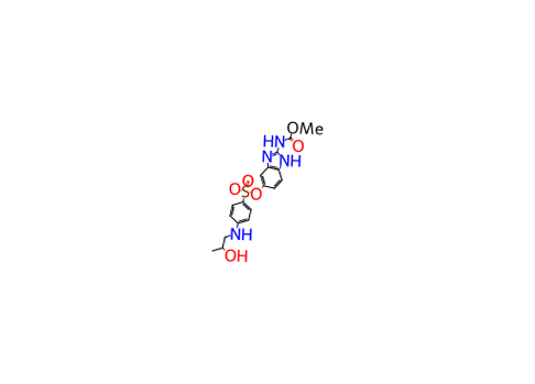 COC(=O)Nc1nc2cc(OS(=O)(=O)c3ccc(NCC(C)O)cc3)ccc2[nH]1